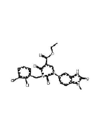 CCOC(=O)c1cn(-c2ccc3c(c2)[nH]c(=O)n3C)c(=O)n(Cc2cccc(Cl)c2Cl)c1=O